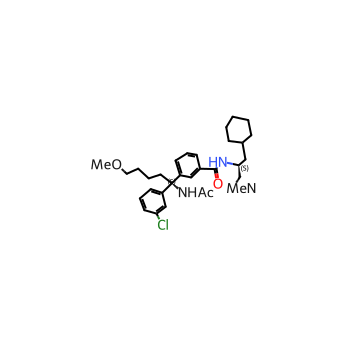 CNC[C@H](CC1CCCCC1)NC(=O)c1cccc([C@](CCCCOC)(NC(C)=O)c2cccc(Cl)c2)c1